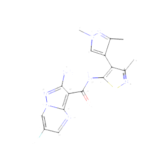 Cc1nn(C)cc1-c1c(C)nsc1NC(=O)c1c(N)nn2cc(F)cnc12